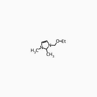 CCOCN1C=CN(C)C1C